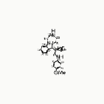 COc1ccc(NCCc2c3n(c4ccccc24)CCNCC3)cc1.Cl.Cl